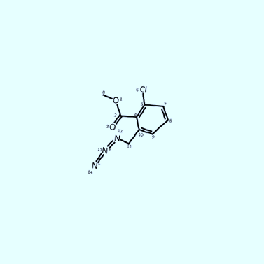 COC(=O)c1c(Cl)cccc1CN=[N+]=[N-]